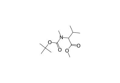 COC(=O)C(C(C)C)N(C)C(=O)OC(C)(C)C